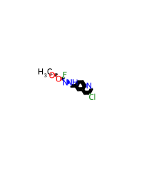 COCO/C(F)=N/NCc1ccc2ncc(Cl)cc2c1